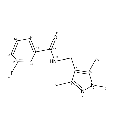 Cc1nn(C)c(C)c1CNC(=O)c1cccc(I)c1